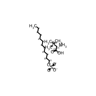 CCCCCCCCCCCCOS(=O)(=O)[O-].C[N+](C)(C)CC(=O)O.N